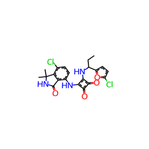 CCC(Nc1c(Nc2ccc(Cl)c3c2C(=O)NC3(C)C)c(=O)c1=O)c1ccc(Cl)o1